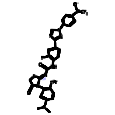 CCCc1ccc(N(C)C)cc1N1C(=O)CS/C1=N\C(=O)Nc1ccc(-c2ncn(-c3ccc([S+]([O-])C(F)(F)F)cc3)n2)cc1F